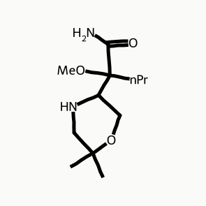 CCCC(OC)(C(N)=O)C1COC(C)(C)CN1